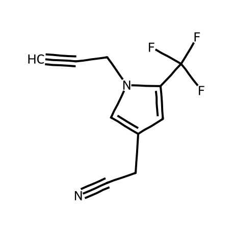 C#CCn1cc(CC#N)cc1C(F)(F)F